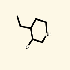 CCC1CCNCC1[O]